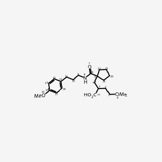 COCCC(CC1(C(=O)NCCCc2ccc(OC)cc2)CCCC1)C(=O)O